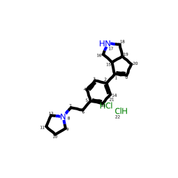 C1=C(c2ccc(CCN3CCCC3)cc2)C2CNCC2C1.Cl.Cl